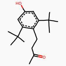 CC(=O)CCc1c(C(C)(C)C)cc(O)cc1C(C)(C)C